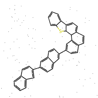 C1=Cc2ccc(-c3ccc4cc(-c5ccc6ccccc6c5)ccc4c3)cc2C2C1=CC=C1c3ccccc3SC12